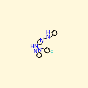 Fc1ccc(Cn2c(NC3CCN(CCNCc4ccccc4)CC3)nc3ccccc32)cc1